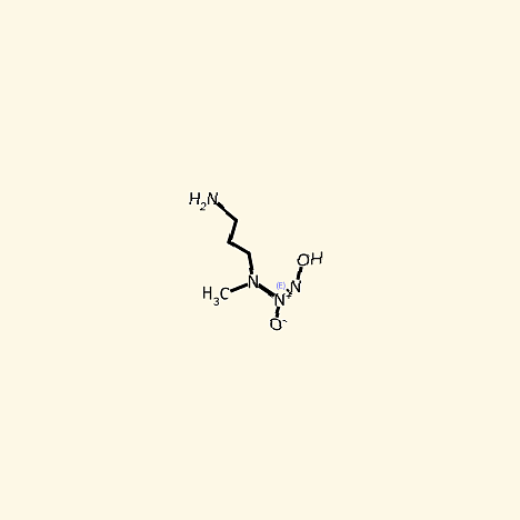 CN(CCCN)/[N+]([O-])=N\O